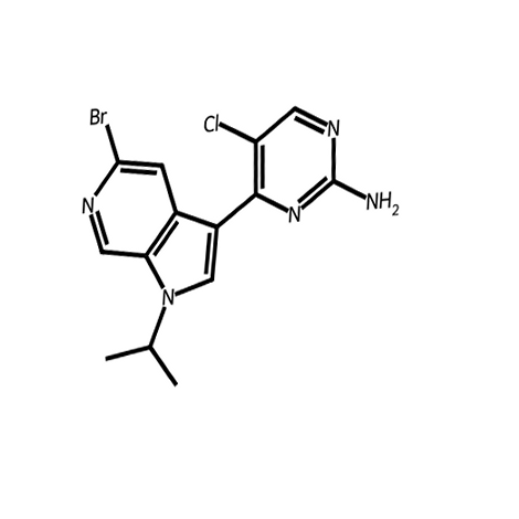 CC(C)n1cc(-c2nc(N)ncc2Cl)c2cc(Br)ncc21